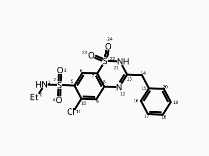 CCNS(=O)(=O)c1cc2c(cc1Cl)N=C(Cc1ccccc1)NS2(=O)=O